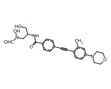 Cc1cc(N2CCOCC2)ccc1C#Cc1ccc(C(=O)NC(CO)CN(O)C=O)cc1